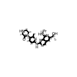 Cc1nc(Nc2ncc3cc([C@@H](C)O)nc(NC(C)C)c3n2)ccc1N1CCNCC1=O